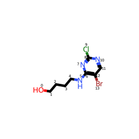 OCCCCNc1nc(Cl)ncc1Br